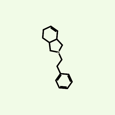 C1=CC2CN(CCc3ccccc3)CC2CC1